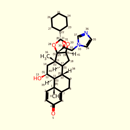 C[C@]12C=CC(=O)C=C1CC[C@@H]1[C@@H]2[C@@H](O)C[C@@]2(C)[C@H]1C[C@@H]1O[C@@H](C3CCCCC3)O[C@]12C(=O)Cn1ccnc1